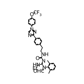 CCN/C(=N\C(=O)NCCc1ccc(-c2ncn(-c3ccc(OC(F)(F)F)cc3)n2)cc1)N(C=O)c1c(C)cccc1C